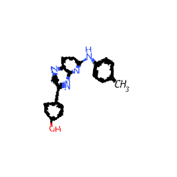 Cc1ccc(Nc2ccc3ncc(-c4ccc(O)cc4)nc3n2)cc1